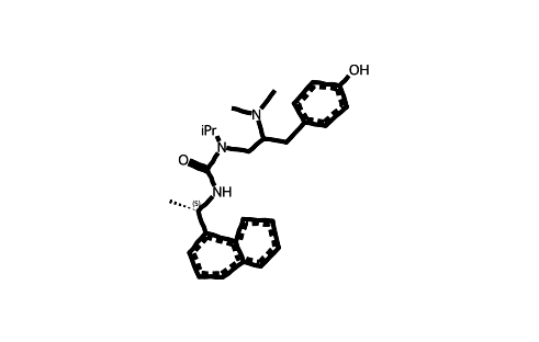 CC(C)N(CC(Cc1ccc(O)cc1)N(C)C)C(=O)N[C@@H](C)c1cccc2ccccc12